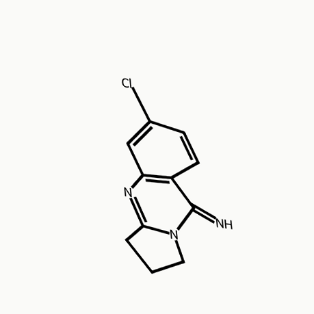 N=c1c2ccc(Cl)cc2nc2n1CCC2